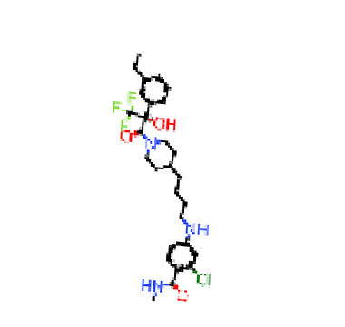 CCc1cccc([C@](O)(C(=O)N2CCC(CCCCNc3ccc(C(=O)NC)c(Cl)c3)CC2)C(F)(F)F)c1